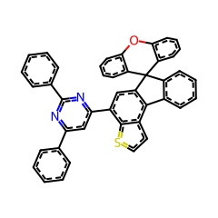 c1ccc(-c2cc(-c3cc4c(c5ccsc35)-c3ccccc3C43c4ccccc4Oc4ccccc43)nc(-c3ccccc3)n2)cc1